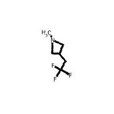 CN1CC(CC(F)(F)F)C1